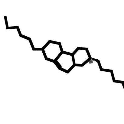 CCCCCCC1CCC2C(=CCC3C[C@@H](CCCCCC)CCC32)C1